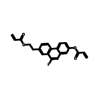 C=CC(=O)OCCc1ccc2c(c1)c(F)cc1cc(OC(=O)C=C)ccc12